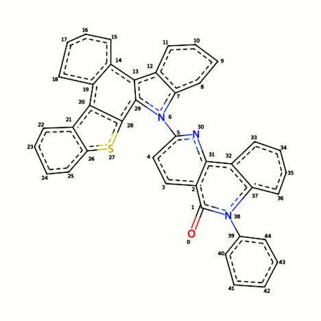 O=c1c2ccc(-n3c4ccccc4c4c5ccccc5c5c6ccccc6sc5c43)nc2c2ccccc2n1-c1ccccc1